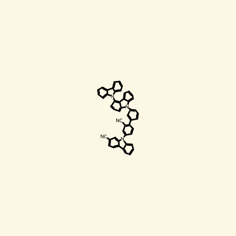 N#Cc1ccc2c3ccccc3n(-c3ccc(-c4cccc(-n5c6ccccc6c6c(-n7c8ccccc8c8ccccc87)cccc65)c4)c(C#N)c3)c2c1